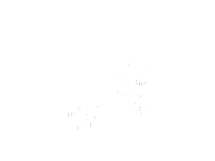 C=CC(=O)OC(OCCCCC(F)(F)C(F)(F)S)(C(=O)NC1CCCCC1)C(F)(F)F